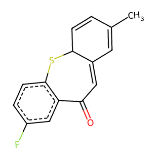 CC1=CC2=CC(=O)c3cc(F)ccc3SC2C=C1